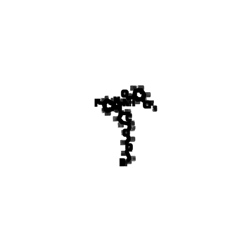 O=C(Nc1nc2cc(F)ccc2n1C1CCC(COCCOCCBr)CC1)c1cccc(C(F)(F)F)c1